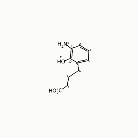 Nc1cccc(CCCC(=O)O)c1O